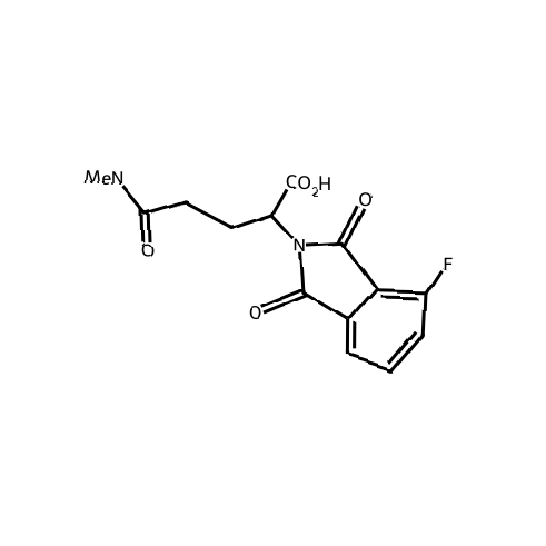 CNC(=O)CCC(C(=O)O)N1C(=O)c2cccc(F)c2C1=O